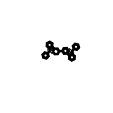 C1=C(c2ccc3c(c2)c2ccccc2n3-c2ccccc2)CCc2c1c1ccccc1n2-c1ccccc1